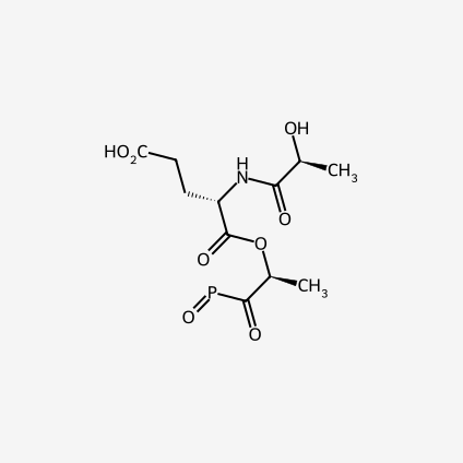 C[C@H](O)C(=O)N[C@@H](CCC(=O)O)C(=O)O[C@@H](C)C(=O)P=O